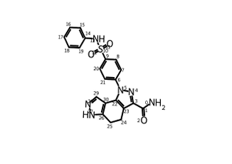 NC(=O)c1nn(-c2ccc(S(=O)(=O)Nc3ccccc3)cc2)c2c1CCc1[nH]ncc1-2